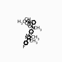 Cc1c(-c2ccc(F)cc2)nnc(N2CCC(N(C)C(=O)[C@@H]3CCCCN3C(=O)OC(C)(C)C)CC2)c1C